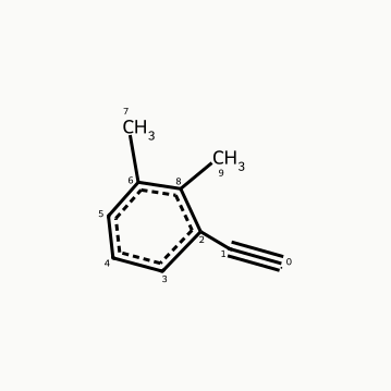 [C]#Cc1cccc(C)c1C